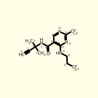 C#CC(C)(C)NC(=O)c1cnc(C(F)(F)F)nc1NCCC(F)(F)F